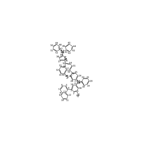 Fc1cc(-c2cccc3ccccc23)cc(N(c2ccccc2)c2ccc3c(c2)Sc2cccc4c(-c5ccc(N(c6ccccc6)c6ccccc6)s5)ccc-3c24)c1